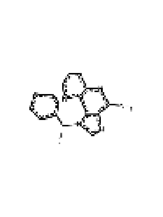 C[C@H](c1ccccc1)n1cnc2c(N)nc3cccnc3c21